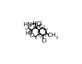 Cc1ccc2c(c1Cl)CO[C@H]1CNC[C@@H]21.Cl